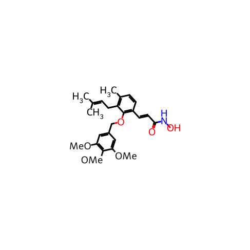 COc1cc(COc2c(/C=C/C(=O)NO)ccc(C)c2CC=C(C)C)cc(OC)c1OC